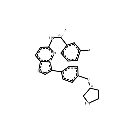 C[C@@H](Nc1ccc2ncc(-c3ccc(O[C@@H]4CCNC4)cc3)n2n1)c1cccc(F)c1